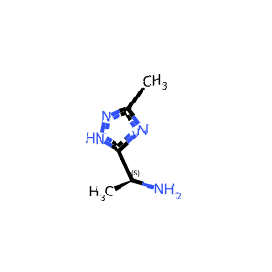 Cc1n[nH]c([C@H](C)N)n1